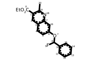 CCOC(=O)c1cc2ccc(OC(F)c3ccccc3)cc2nc1C